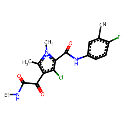 CCNC(=O)C(=O)c1c(Cl)c(C(=O)Nc2ccc(F)c(C#N)c2)n(C)c1C